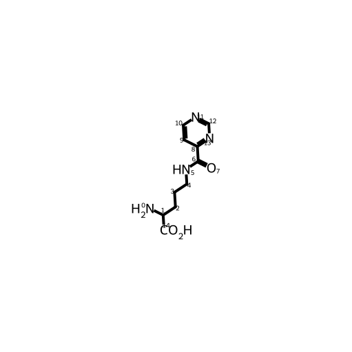 NC(CCCNC(=O)c1ccncn1)C(=O)O